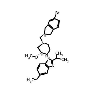 CCc1ccc2c(c1)nc(C(C)C)n2[C@H]1CCN(C[C@@H]2Cc3ccc(Br)cc3C2)C[C@H]1OC